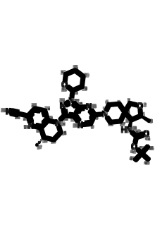 C[C@@H]1OCC2(CCN(c3cnc4c(N5CC[C@H](C)c6nc(C#N)ccc65)nn(C5CCCCO5)c4n3)CC2)[C@@H]1NC(=O)OC(C)(C)C